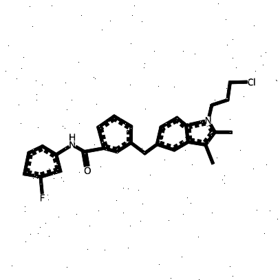 Cc1c(C)n(CCCCl)c2ccc(Cc3cccc(C(=O)Nc4cccc(F)c4)c3)cc12